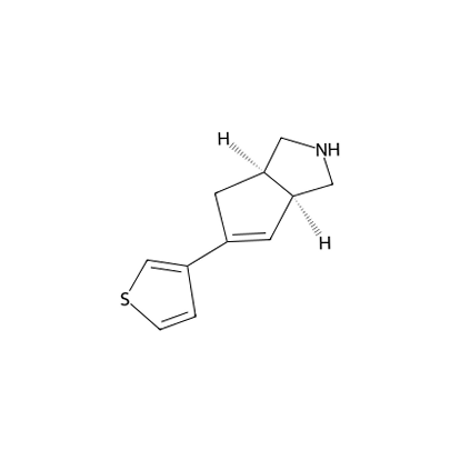 C1=C(c2ccsc2)C[C@H]2CNC[C@@H]12